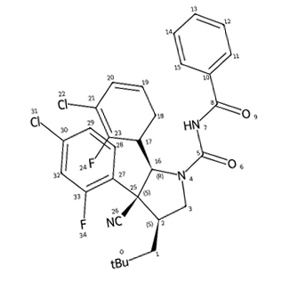 CC(C)(C)C[C@@H]1CN(C(=O)NC(=O)c2ccccc2)[C@H](C2CC=CC(Cl)=C2F)[C@@]1(C#N)c1ccc(Cl)cc1F